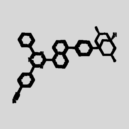 C[C@@H]1C[C@@H]2C[C@H](C)CC(c3ccc(-c4cccc5c(-c6nc(-c7ccccc7)nc(-c7ccc(C#N)cc7)n6)cccc45)cc3)(C1)C2